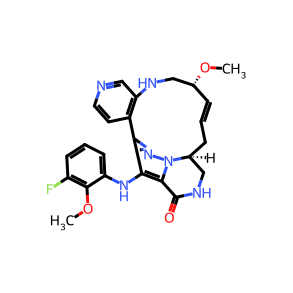 COc1c(F)cccc1Nc1c2nn3c1C(=O)NC[C@@H]3C/C=C/[C@@H](OC)CNc1cnccc1-2